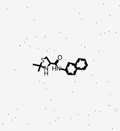 CC1(C)NC(C(=O)Nc2ccc3ccccc3c2)CS1